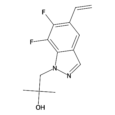 C=Cc1cc2cnn(CC(C)(C)O)c2c(F)c1F